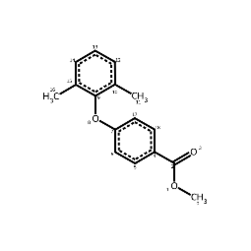 COC(=O)c1ccc(Oc2c(C)cccc2C)cc1